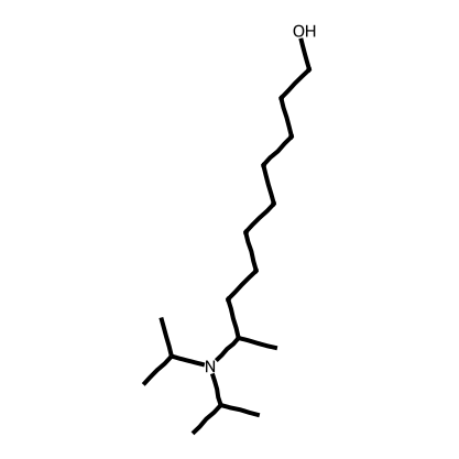 CC(C)N(C(C)C)C(C)CCCCCCCCO